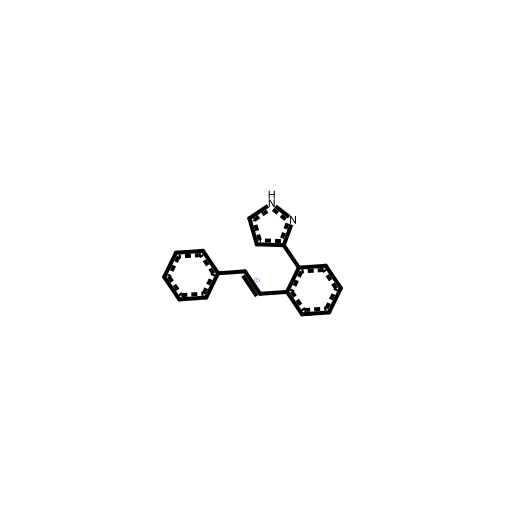 C(=C\c1ccccc1-c1cc[nH]n1)/c1ccccc1